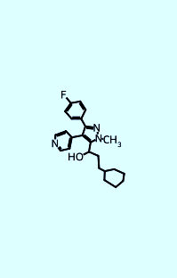 Cn1nc(-c2ccc(F)cc2)c(-c2ccncc2)c1C(O)CCC1CCCCC1